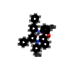 CC(C)(C)c1ccc(N2B3c4c(cc(-c5ccccc5)cc4N(c4ccc(C(C)(C)C)cc4-c4ccccc4)c4ccc5oc6ccccc6c5c43)-c3ccc(-c4ccccc4)cc32)cc1